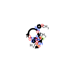 COc1ccc2nc3c(nc2c1)O[C@H]1CN(C(=O)[C@H](C2(C)CCCC2)NC(=O)O[C@@H]2CC2CCCCC3)[C@H](C(=O)N[C@]2(C(=O)NS(=O)(=O)C3(C)CC3)C[C@H]2C(F)F)[C@@H]1C